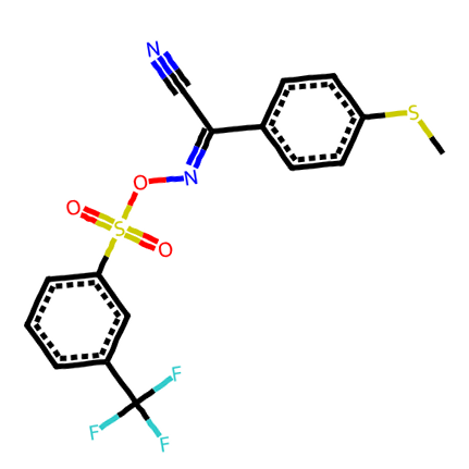 CSc1ccc(C(C#N)=NOS(=O)(=O)c2cccc(C(F)(F)F)c2)cc1